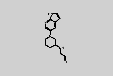 OCCNC1CCCN(c2cnc3[nH]c[c]c3c2)C1